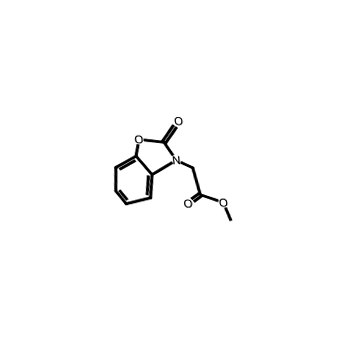 COC(=O)Cn1c(=O)oc2ccccc21